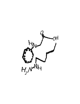 CCCCCNN.O=C(O)CNc1ccccc1